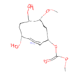 COC(=O)OC1/C=C/C(O)CC(O)C(OC)C1